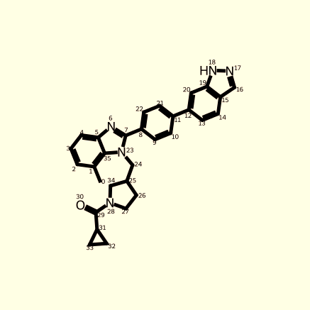 Cc1cccc2nc(-c3ccc(-c4ccc5cn[nH]c5c4)cc3)n(CC3CCN(C(=O)C4CC4)C3)c12